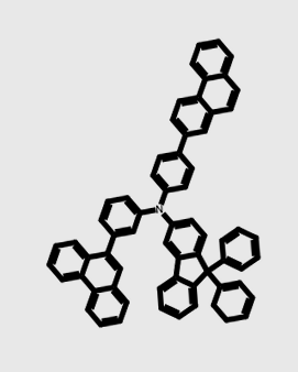 C1=CCCC(C2(c3ccccc3)c3ccccc3-c3cc(N(c4ccc(-c5ccc6c(ccc7ccccc76)c5)cc4)c4cccc(-c5cc6ccccc6c6ccccc56)c4)ccc32)=C1